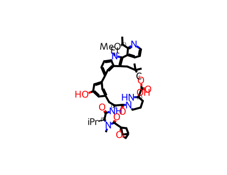 CCn1c(-c2cccnc2[C@H](C)OC)c2c3cc(ccc31)-c1cc(O)cc(c1)C[C@H](NC(=O)[C@H](C(C)C)N(C)C(=O)C13CC(CO1)C3)C(=O)N1CCC[C@@](O)(N1)C(=O)OCC(C)(C)C2